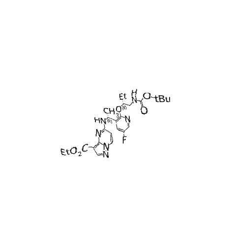 CCOC(=O)c1cnn2ccc(N[C@H](C)c3cc(F)cnc3O[C@H](CC)CNC(=O)OC(C)(C)C)nc12